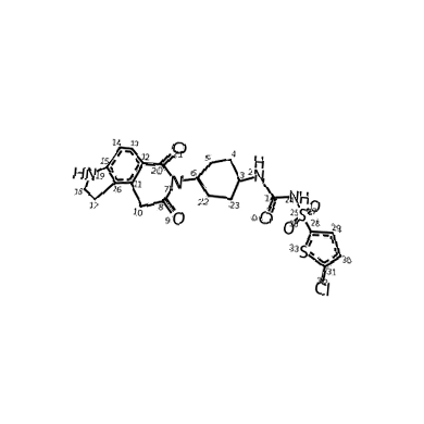 O=C(NC1CCC(N2C(=O)Cc3c(ccc4c3CCN4)C2=O)CC1)NS(=O)(=O)c1ccc(Cl)s1